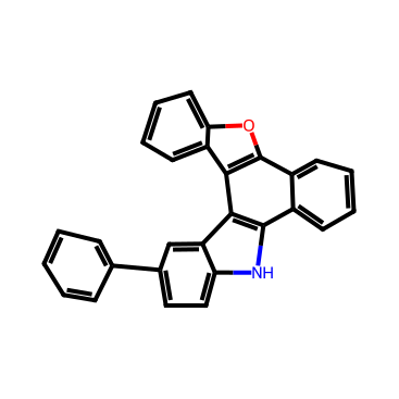 c1ccc(-c2ccc3[nH]c4c5ccccc5c5oc6ccccc6c5c4c3c2)cc1